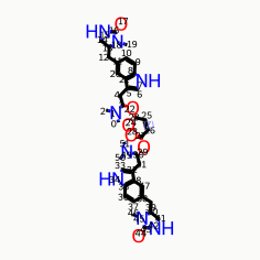 CN(C)C(Cc1c[nH]c2ccc(CC3CNC(=O)N3C)cc12)OC(=O)/C=C\C(=O)OC(Cc1c[nH]c2ccc(CC3CNC(=O)N3C)cc12)N(C)C